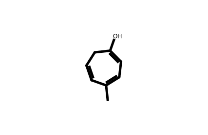 CC1=CC=C(O)CC=C1